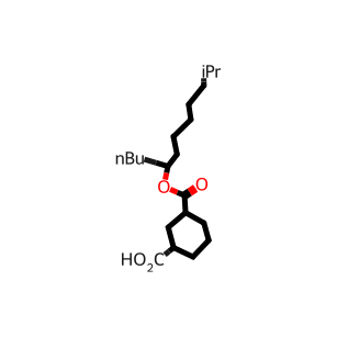 CCCCC(CCCCCC(C)C)OC(=O)C1CCCC(C(=O)O)C1